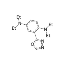 CCN(CC)c1ccc(N(CC)CC)c(-c2nnco2)c1